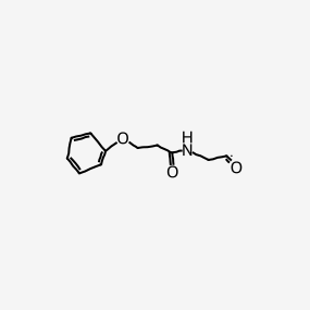 O=[C]CNC(=O)CCOc1ccccc1